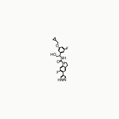 O=C(NC(CO)c1cc(F)cc(OCC2CC2)c1)N1CCc2cc(-c3cn[nH]c3)c(F)cc21